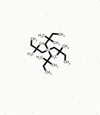 CCC(C)(C)[CH2][Cr]([CH2]C(C)(C)CC)([CH2]C(C)(C)CC)[CH2]C(C)(C)CC